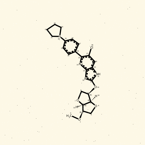 CO[C@@H]1CO[C@H]2[C@@H]1OC[C@H]2Oc1nc2nc(-c3ccc(N4CCCC4)cc3)c(Cl)cc2[nH]1